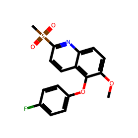 COc1ccc2nc(S(C)(=O)=O)ccc2c1Oc1ccc(F)cc1